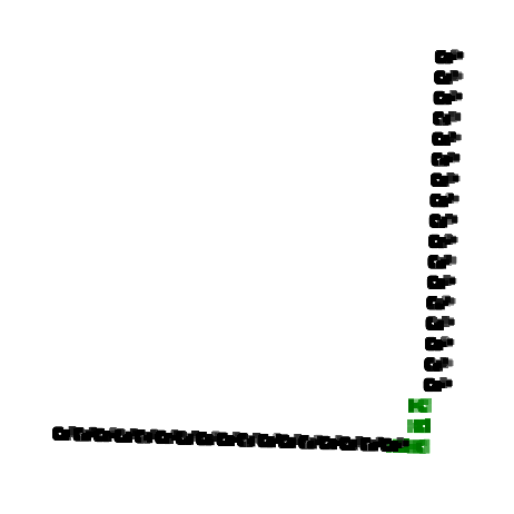 Cl.Cl.Cl.Cl.[Ca+2].[Ca+2].[Ca+2].[Ca+2].[Ca+2].[Ca+2].[Ca+2].[Ca+2].[Ca+2].[Ca+2].[Ca+2].[Ca+2].[Ca+2].[Ca+2].[Ca+2].[Ca+2].[Ca+2].[Ca+2].[Ca+2].[Ca+2].[Ca+2].[Ca+2].[Ca+2].[Ca+2].[Ca+2].[Ca+2].[Ca+2].[Ca+2].[Ca+2].[Ca+2].[Ca+2].[Ca+2].[Ca+2].[Ca+2]